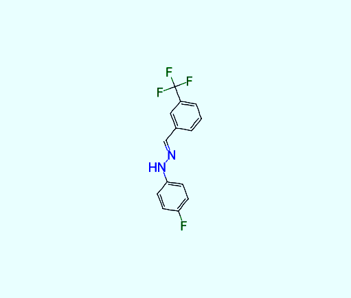 Fc1ccc(NN=Cc2cccc(C(F)(F)F)c2)cc1